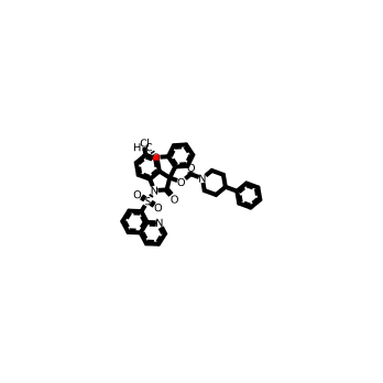 COc1ccccc1C1(OC(=O)N2CCC(c3ccccc3)CC2)C(=O)N(S(=O)(=O)c2cccc3cccnc23)c2ccc(Cl)cc21